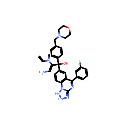 C=CN(C)/C(=C\N)C(O)(c1ccc(CN2CCOCC2)cc1)c1ccc2c(c1)C(c1cccc(Cl)c1)=NC1=NNNN12